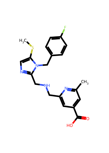 CSc1cnc(CNCc2cc(C(=O)O)cc(C)n2)n1Cc1ccc(F)cc1